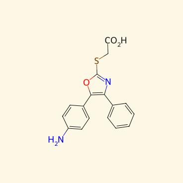 Nc1ccc(-c2oc(SCC(=O)O)nc2-c2ccccc2)cc1